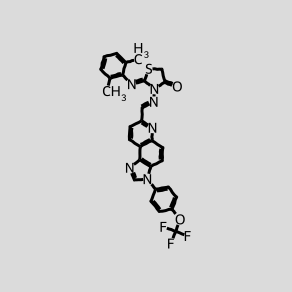 Cc1cccc(C)c1N=C1SCC(=O)N1N=Cc1ccc2c(ccc3c2ncn3-c2ccc(OC(F)(F)F)cc2)n1